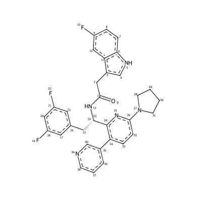 O=C(Cc1c[nH]c2ccc(F)cc12)N[C@@H](Cc1cc(F)cc(F)c1)c1nc(N2CCCC2)ccc1-c1cccnc1